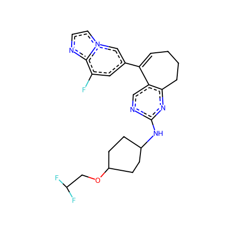 Fc1cc(C2=CCCCc3nc(NC4CCC(OCC(F)F)CC4)ncc32)cn2ccnc12